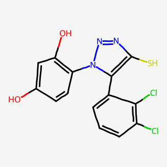 Oc1ccc(-n2nnc(S)c2-c2cccc(Cl)c2Cl)c(O)c1